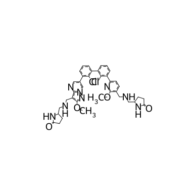 COc1nc(-c2cccc(-c3cccc(-c4cnc5c(CNCC6CCC(=O)N6)c(OC)nn5c4)c3Cl)c2Cl)ccc1CNCC1CCC(=O)N1